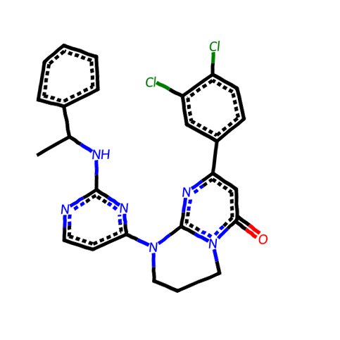 CC(Nc1nccc(N2CCCn3c2nc(-c2ccc(Cl)c(Cl)c2)cc3=O)n1)c1ccccc1